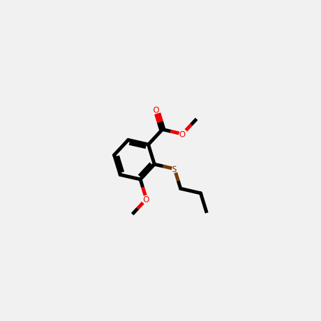 CCCSc1c(OC)cccc1C(=O)OC